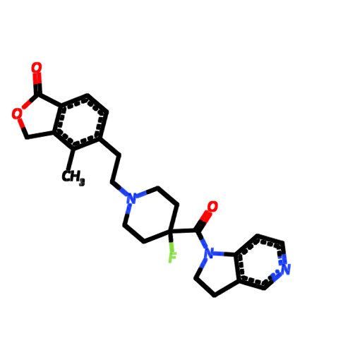 Cc1c(CCN2CCC(F)(C(=O)N3CCc4cnccc43)CC2)ccc2c1COC2=O